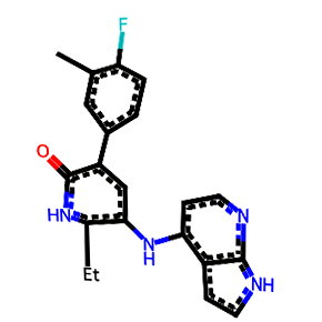 CCc1[nH]c(=O)c(-c2ccc(F)c(C)c2)cc1Nc1ccnc2[nH]ccc12